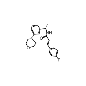 C[C@H](NC(=O)C=Cc1ccc(F)cc1)c1cccc(N2CCOCC2)c1